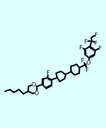 CCCCCC1COC(c2ccc(C3CCC(C4CCC(C(F)(F)Oc5cc(F)c(C(F)(F)CF)c(F)c5)CC4)CC3)c(F)c2)OC1